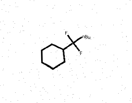 CCCCC(F)(F)C1CCCCC1